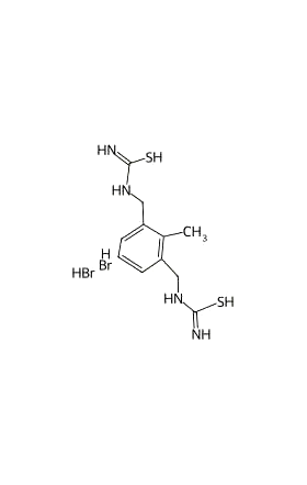 Br.Br.Cc1c(CNC(=N)S)cccc1CNC(=N)S